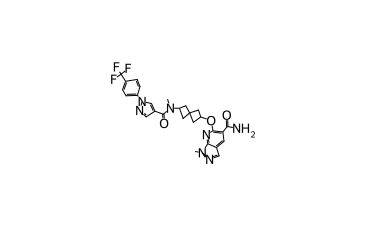 CN(C(=O)c1cnn(-c2ccc(C(F)(F)F)cc2)c1)C1CC2(CC(Oc3nc4c(cnn4C)cc3C(N)=O)C2)C1